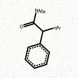 CCCC(C(=O)NC)c1ccccc1